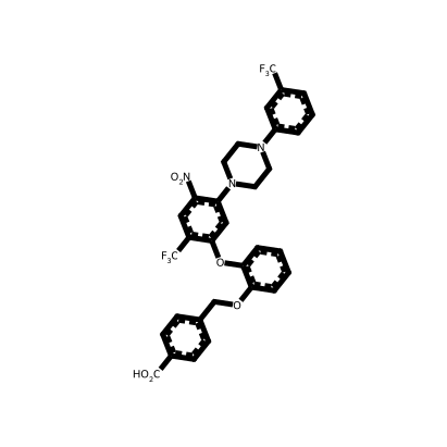 O=C(O)c1ccc(COc2ccccc2Oc2cc(N3CCN(c4cccc(C(F)(F)F)c4)CC3)c([N+](=O)[O-])cc2C(F)(F)F)cc1